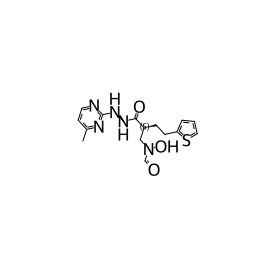 Cc1ccnc(NNC(=O)[C@@H](CCc2cccs2)CN(O)C=O)n1